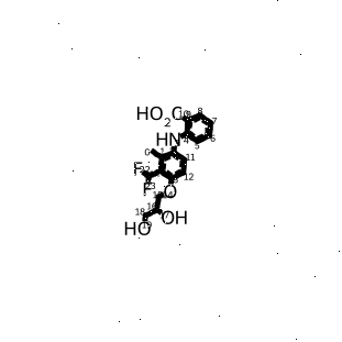 Cc1c(Nc2ccccc2C(=O)O)ccc(OCC(O)CO)c1C(F)F